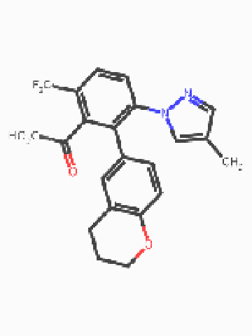 Cc1cnn(-c2ccc(C(F)(F)F)c(C(=O)C(=O)O)c2-c2ccc3c(c2)CCCO3)c1